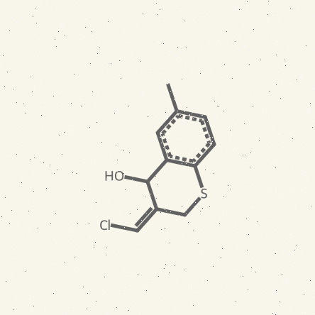 Cc1ccc2c(c1)C(O)/C(=C\Cl)CS2